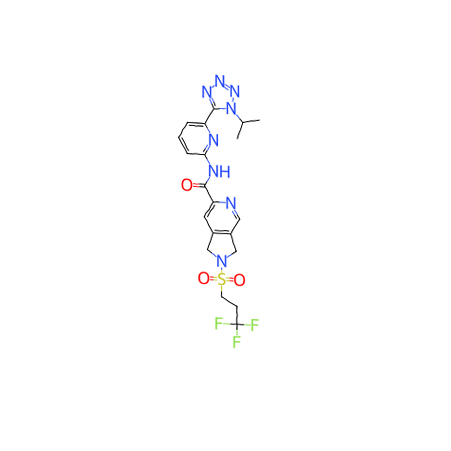 CC(C)n1nnnc1-c1cccc(NC(=O)c2cc3c(cn2)CN(S(=O)(=O)CCC(F)(F)F)C3)n1